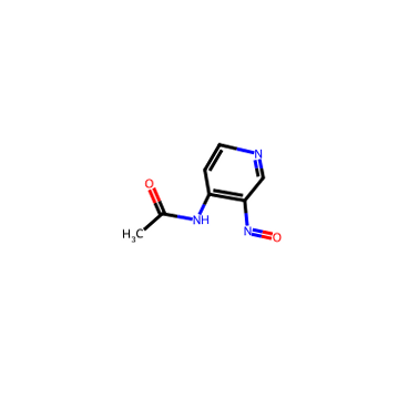 CC(=O)Nc1ccncc1N=O